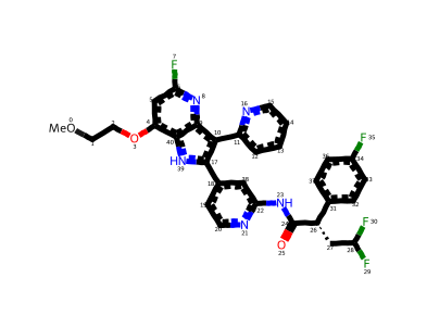 COCCOc1cc(F)nc2c(-c3ccccn3)c(-c3ccnc(NC(=O)[C@@H](CC(F)F)c4ccc(F)cc4)c3)[nH]c12